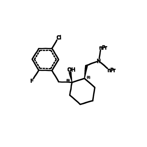 CCCN(CCC)C[C@H]1CCCC[C@]1(O)Cc1cc(Cl)ccc1F